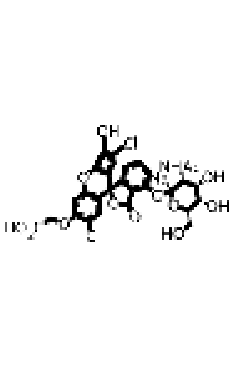 CC(=O)N[C@@H]1[C@@H](O)[C@H](O)[C@@H](CO)O[C@@]1([Na])Oc1cccc2c1C(=O)OC21c2cc(Cl)c(O)cc2Oc2cc(OCC(=O)O)c(Cl)cc21